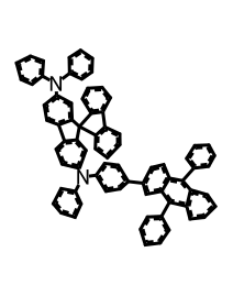 c1ccc(-c2c3ccccc3c(-c3ccccc3)c3cc(-c4ccc(N(c5ccccc5)c5ccc6c(c5)C5(c7ccccc7-c7ccccc75)c5cc(N(c7ccccc7)c7ccccc7)ccc5-6)cc4)ccc23)cc1